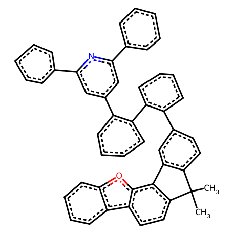 CC1(C)c2ccc(-c3ccccc3-c3ccccc3-c3cc(-c4ccccc4)nc(-c4ccccc4)c3)cc2-c2c1ccc1c2oc2ccccc21